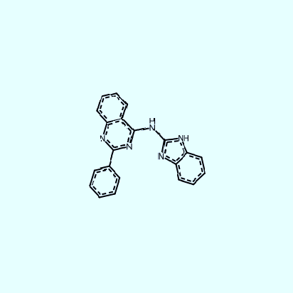 c1ccc(-c2nc(Nc3nc4ccccc4[nH]3)c3ccccc3n2)cc1